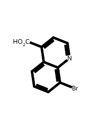 O=C(O)c1ccnc2c(Br)cccc12